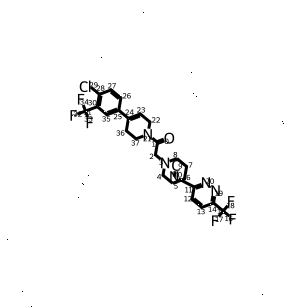 O=C(CN1CC2CCC1CN2c1ccc(C(F)(F)F)nn1)N1CC=C(c2ccc(Cl)c(C(F)(F)F)c2)CC1